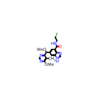 COc1ncnc(C(OC)c2cc(C(=O)NCCF)c3nc[nH]c3c2)c1C